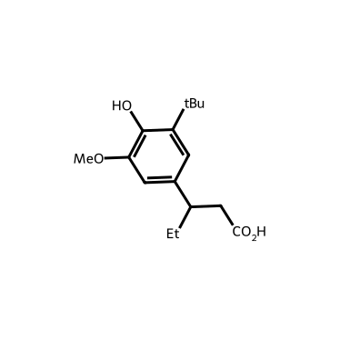 CCC(CC(=O)O)c1cc(OC)c(O)c(C(C)(C)C)c1